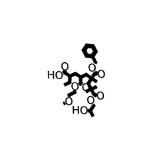 CCC(CC(CC(C)(CC(C)(C)C(=O)OCC(C)O)C(=O)OCc1ccccc1)C(=O)OCCOC)C(=O)O